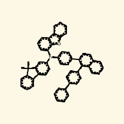 CC1(C)c2ccccc2-c2ccc(N(c3ccc(-c4ccc5ccccc5c4-c4ccc(-c5ccccc5)cc4)cc3)c3cccc4c3oc3ccccc34)cc21